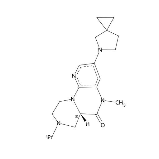 CC(C)N1CCN2c3ncc(N4CCC5(CC5)C4)cc3N(C)C(=O)[C@@H]2C1